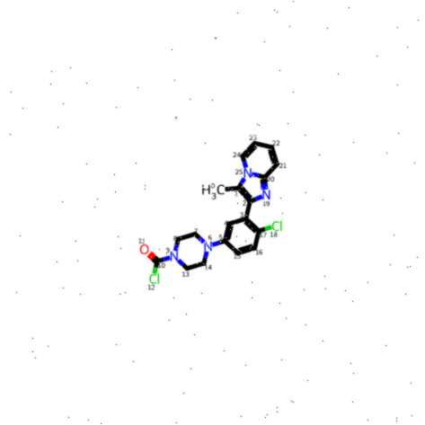 Cc1c(-c2cc(N3CCN(C(=O)Cl)CC3)ccc2Cl)nc2ccccn12